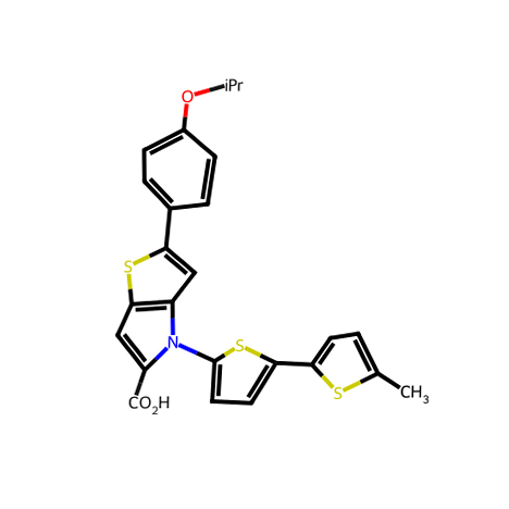 Cc1ccc(-c2ccc(-n3c(C(=O)O)cc4sc(-c5ccc(OC(C)C)cc5)cc43)s2)s1